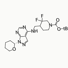 CC(C)(C)OC(=O)N1CCC(CNc2ncnc3c2cnn3[C@H]2CCCCO2)C(F)(F)C1